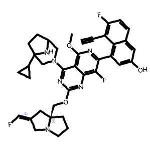 C#Cc1c(F)ccc2cc(O)cc(-c3nc(OC)c4c(N5CC6CCC(C7CC7)(C5)N6)nc(OC[C@@]56CCCN5C/C(=C\F)C6)nc4c3F)c12